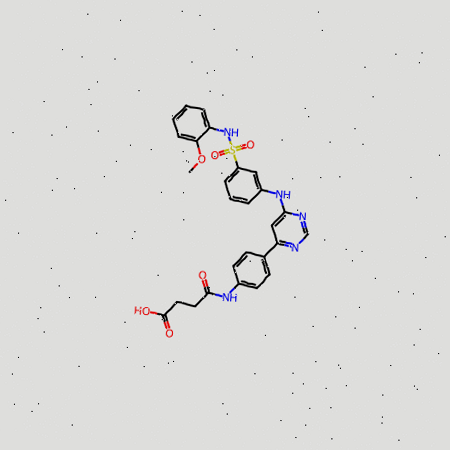 COc1ccccc1NS(=O)(=O)c1cccc(Nc2cc(-c3ccc(NC(=O)CCC(=O)O)cc3)ncn2)c1